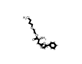 CCCCOCCOC(=O)[C@@H](N)Cc1ncc(-c2ccccc2)o1